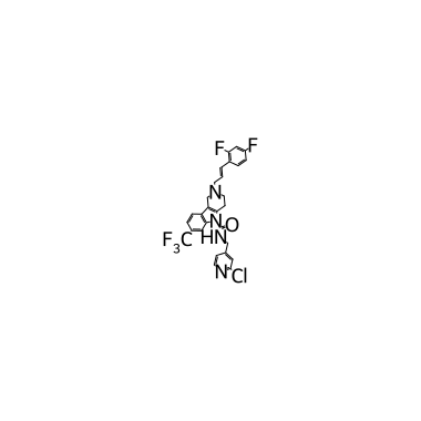 O=C(NCc1ccnc(Cl)c1)n1c2c(c3ccc(C(F)(F)F)cc31)CN(CC=Cc1ccc(F)cc1F)CC2